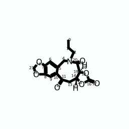 CCCN1Cc2cc3c(cc2C(=O)C[C@H]2OC(=O)O[C@@H]2C1=O)OCO3